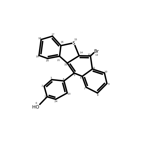 Oc1ccc(-c2c3ccccc3c(Br)c3sc4ccccc4c23)cc1